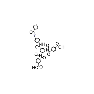 O=C(O)c1ccc2c(c1)C(=O)N(c1cc(C(=O)Nc3ccc(/C=C/C(=O)c4ccccc4)cc3)cc(N3C(=O)c4ccc(C(=O)O)cc4C3=O)c1)C2=O